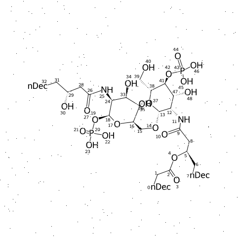 CCCCCCCCCCCC(=O)O[C@H](CCCCCCCCCCC)CC(=O)N[C@@H]1[C@H](OC[C@H]2O[C@@H](OP(=O)(O)O)[C@@H](NC(=O)C[C@H](O)CCCCCCCCCCC)[C@@H](O)[C@@H]2O)O[C@H](CO)[C@@H](OP(=O)(O)O)[C@@H]1O